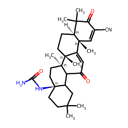 CC1(C)CC[C@]2(NC(N)=O)CC[C@]3(C)C(C(=O)C=C4[C@@]5(C)C=C(C#N)C(=O)C(C)(C)[C@@H]5CC[C@]43C)C2C1